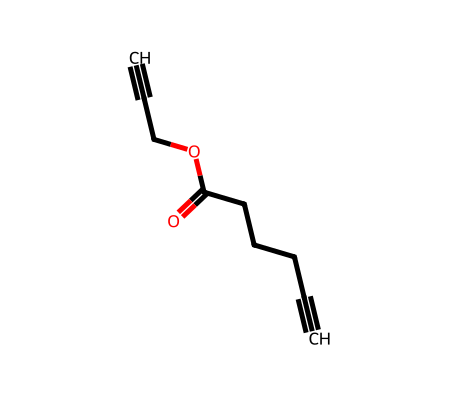 C#CCCCC(=O)OCC#C